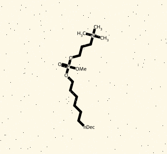 CCCCCCCCCCCCCCCCOP(=O)(OC)OCCC[N+](C)(C)C